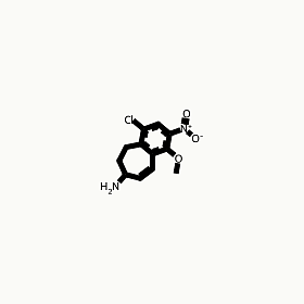 COc1c([N+](=O)[O-])cc(Cl)c2c1C=CC(N)CC2